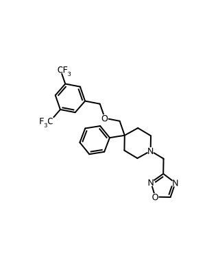 FC(F)(F)c1cc(COCC2(c3ccccc3)CCN(Cc3ncon3)CC2)cc(C(F)(F)F)c1